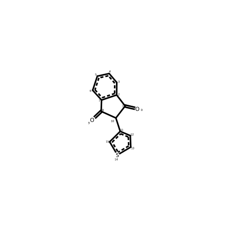 O=C1c2ccccc2C(=O)C1c1ccsc1